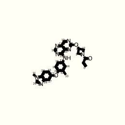 C=CC(=O)N1CC(Oc2ncc3ncnc(Nc4ccc(Oc5ccc6c(c5)ncn6C)c(C)c4)c3n2)C1